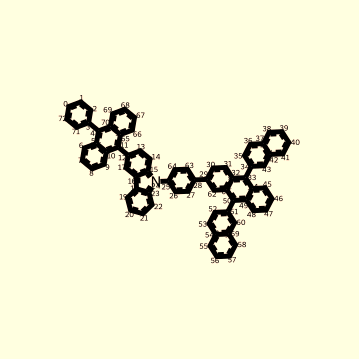 c1ccc(-c2c3ccccc3c(-c3ccc4c(c3)c3ccccc3n4-c3ccc(-c4ccc5c(-c6ccc7ccccc7c6)c6ccccc6c(-c6ccc7ccccc7c6)c5c4)cc3)c3ccccc23)cc1